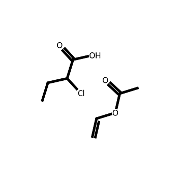 C=COC(C)=O.CCC(Cl)C(=O)O